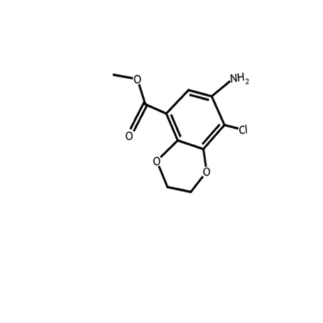 COC(=O)c1cc(N)c(Cl)c2c1OCCO2